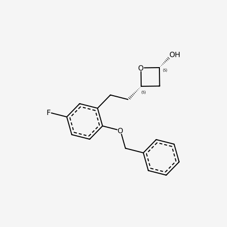 O[C@@H]1C[C@H](CCc2cc(F)ccc2OCc2ccccc2)O1